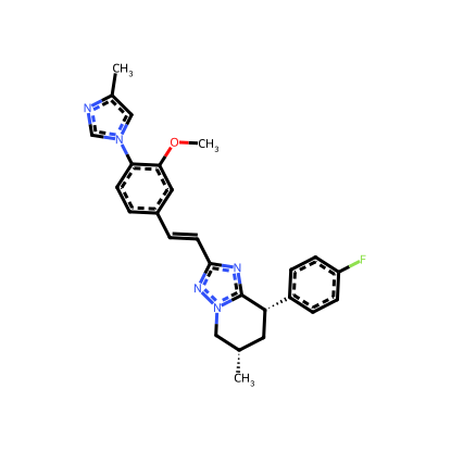 COc1cc(/C=C/c2nc3n(n2)C[C@@H](C)C[C@H]3c2ccc(F)cc2)ccc1-n1cnc(C)c1